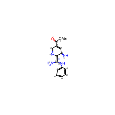 COC(=O)C1=CC(=N)/C(=C(/N)Nc2ccccc2)N=C1